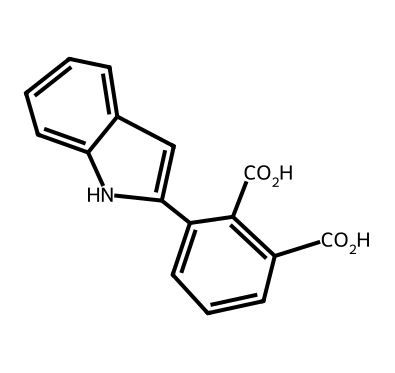 O=C(O)c1cccc(-c2cc3ccccc3[nH]2)c1C(=O)O